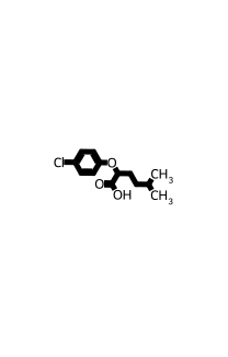 CC(C)CCC(Oc1ccc(Cl)cc1)C(=O)O